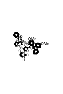 COc1ccc(C(OC[C@H]2O[C@@H](n3c(=O)cc[nH]c3=O)[C@H](O[P@]3O[C@H](CS(=O)(=O)c4ccccc4)[C@@H]4CCCN43)[C@@H]2O[Si](C)(C)C(C)(C)C)(c2ccccc2)c2ccc(OC)cc2)cc1